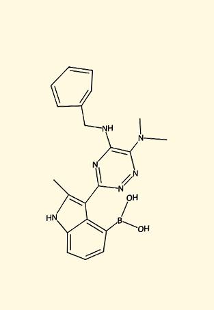 Cc1[nH]c2cccc(B(O)O)c2c1-c1nnc(N(C)C)c(NCc2ccccc2)n1